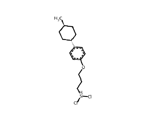 C[C@H]1CC[C@H](c2ccc(OCCC[SiH](Cl)Cl)cc2)CC1